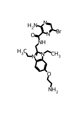 CCn1c(CNC(=O)c2nc(Br)cnc2N)[n+](CC)c2ccc(OCCN)cc21